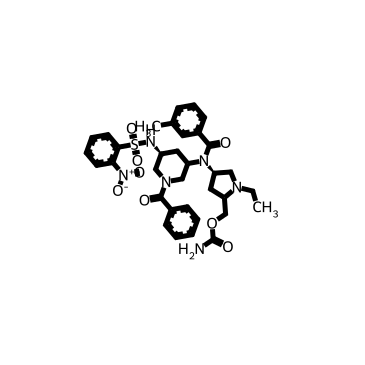 CCN1C[C@H](N(C(=O)c2cccc(C)c2)C2C[C@H](NS(=O)(=O)c3ccccc3[N+](=O)[O-])CN(C(=O)c3ccccc3)C2)CC1COC(N)=O